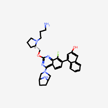 NCCCN1CCC[C@H]1COc1nc(N2CC3CCC(C2)N3)c2ccc(-c3cc(O)cc4ccccc34)c(F)c2n1